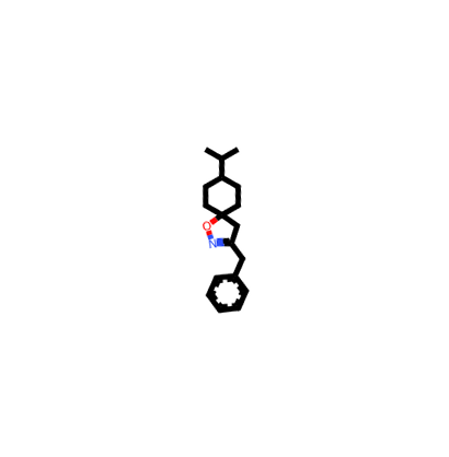 CC(C)C1CCC2(CC1)CC(Cc1ccccc1)=NO2